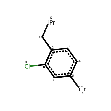 CC(C)Cc1ccc(C(C)C)cc1Cl